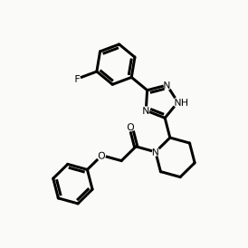 O=C(COc1ccccc1)N1CCCCC1c1nc(-c2cccc(F)c2)n[nH]1